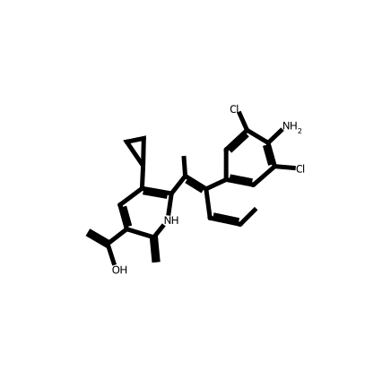 C=C(O)C1=CC(C2CC2)=C(/C(C)=C(\C=C/C)c2cc(Cl)c(N)c(Cl)c2)NC1=C